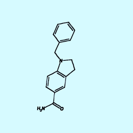 NC(=O)c1ccc2c(c1)CCN2Cc1ccccc1